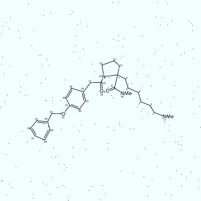 CNCCCCCCC1(C(=O)NC)CCCN1C(=O)Cc1ccc(OCc2ccccc2)cc1